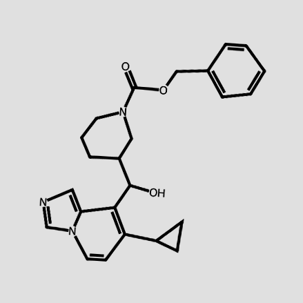 O=C(OCc1ccccc1)N1CCCC(C(O)c2c(C3CC3)ccn3cncc23)C1